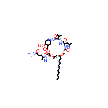 CCC/C=C/C=C/C=C/CC1CC(C)OC(C)(C(=O)NC(C)CCC(N)=O)OC(=O)C2CC(CCC2O)NC(=O)C(C(C)C)NC(=O)C(CC(C)C)NC(=O)CO1